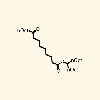 CCCCCCCCC(=O)CCCCCCCC(=O)OC(CCCCCCCC)CCCCCCCC